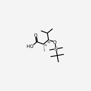 CC(C)[C@@H](O[Si](C)(C)C(C)(C)C)[C@H](C)C(=O)O